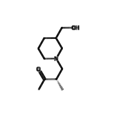 CC(=O)[C@@H](C)CN1CCCC(CO)C1